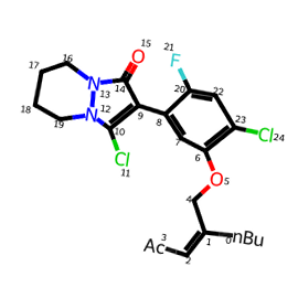 CCCC/C(=C/C(C)=O)COc1cc(-c2c(Cl)n3n(c2=O)CCCC3)c(F)cc1Cl